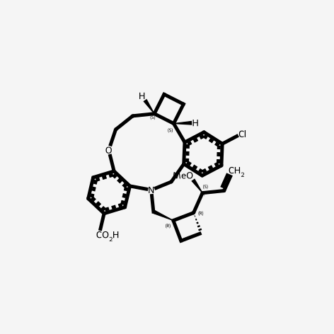 C=C[C@H](OC)[C@@H]1CC[C@H]1CN1Cc2ccc(Cl)cc2[C@H]2CC[C@H]2CCOc2ccc(C(=O)O)cc21